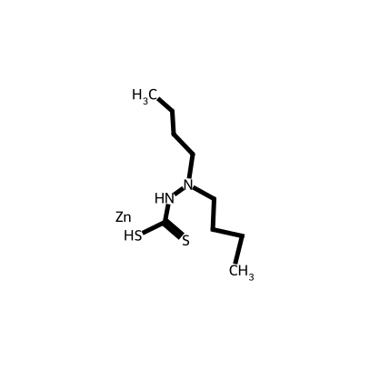 CCCCN(CCCC)NC(=S)S.[Zn]